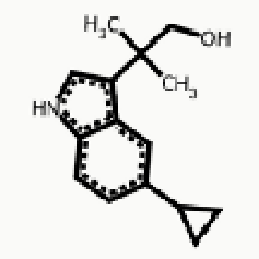 CC(C)(CO)c1c[nH]c2ccc(C3CC3)cc12